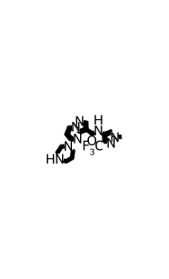 Cn1cc(NC(=O)c2cnn3ccc(N4CCCNCC4)nc23)c(C(F)(F)F)n1